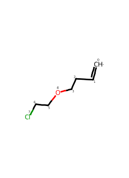 [CH]=CCCOCCCl